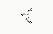 CN(CC(=O)c1ccc(OOC(=O)c2ccccc2)c(OOC(=O)c2ccccc2)c1)OC(=O)c1ccccc1